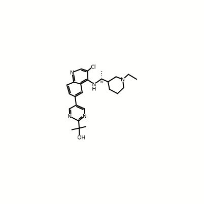 CCN1CCCC([C@@H](C)Nc2c(Cl)cnc3ccc(-c4cnc(C(C)(C)O)nc4)cc23)C1